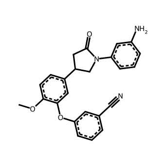 COc1ccc(C2CC(=O)N(c3cccc(N)c3)C2)cc1Oc1cccc(C#N)c1